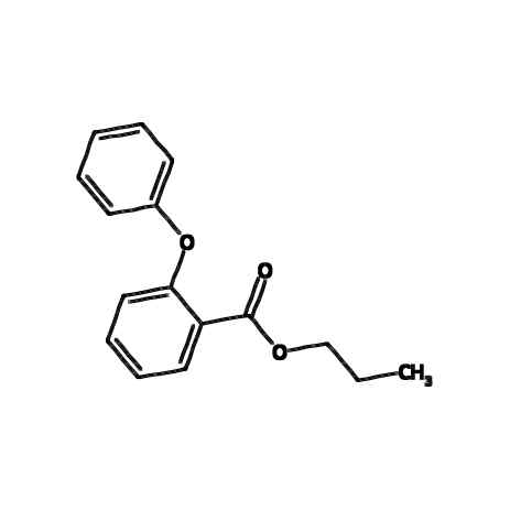 CCCOC(=O)c1ccccc1Oc1ccccc1